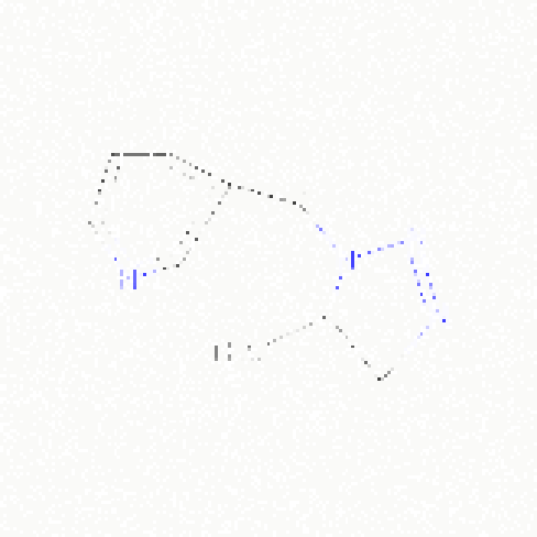 CC1CN=NN1Cc1cccnc1